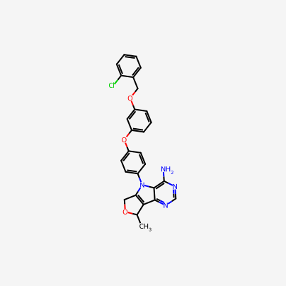 CC1OCc2c1c1ncnc(N)c1n2-c1ccc(Oc2cccc(OCc3ccccc3Cl)c2)cc1